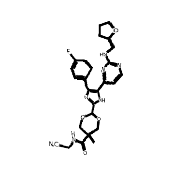 CC1(C(=O)NCC#N)COC(c2nc(-c3ccc(F)cc3)c(-c3ccnc(NCC4CCCO4)n3)[nH]2)OC1